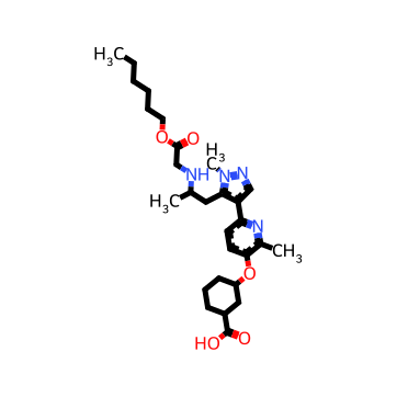 CCCCCCOC(=O)CNC(C)Cc1c(-c2ccc(OC3CCCC(C(=O)O)C3)c(C)n2)cnn1C